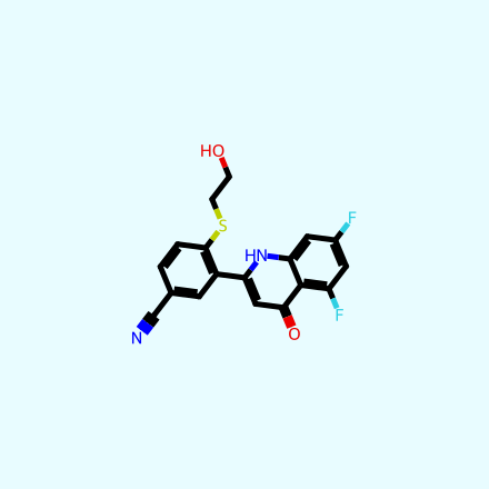 N#Cc1ccc(SCCO)c(-c2cc(=O)c3c(F)cc(F)cc3[nH]2)c1